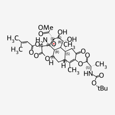 COC(=O)[C@@]12OC[C@]34C([C@@H](O)[C@@H]1O)[C@@]1(C)CC(=O)C(OC(=O)[C@H](C)NC(=O)OC(C)(C)C)=C(C)[C@@H]1C[C@H]3OC(=O)[C@H](OC(=O)C=C(C)C)[C@@]24N